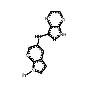 CC(C)n1ccc2cc(Nc3n[nH]c4nccnc34)cnc21